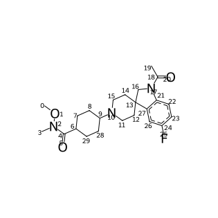 CON(C)C(=O)C1CCC(N2CCC3(CC2)CN(C(C)=O)c2ccc(F)cc23)CC1